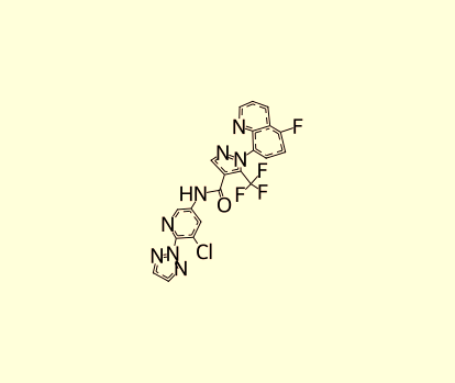 O=C(Nc1cnc(-n2nccn2)c(Cl)c1)c1cnn(-c2ccc(F)c3cccnc23)c1C(F)(F)F